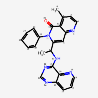 Cc1ccnc2cc(C(C)Nc3ncnc4cccnc34)n(-c3ccccc3)c(=O)c12